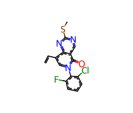 C=Cc1cn(-c2c(F)cccc2Cl)c(=O)c2cnc(SC)nc12